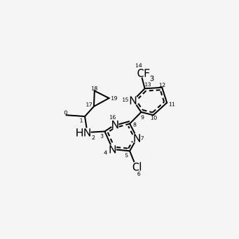 CC(Nc1nc(Cl)nc(-c2cccc(C(F)(F)F)n2)n1)C1CC1